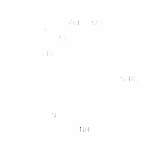 CC(=O)Nc1ccc([As](=O)(O)O)c(O)c1.Nc1ccc2ccccc2n1